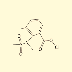 Cc1cccc(C(=O)OCl)c1N(C)S(C)(=O)=O